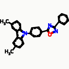 Cc1ccc2c(c1)c1cc(C)ccc1n2-c1ccc(-c2nc(-c3ccccc3)no2)cc1